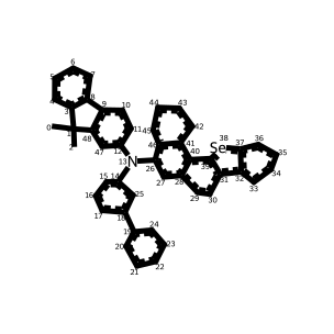 CC1(C)c2ccccc2-c2ccc(N(c3cccc(-c4ccccc4)c3)c3cc4ccc5c6ccccc6[se]c5c4c4ccccc34)cc21